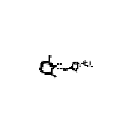 CCN1CC(COc2c(C)cccc2C)C1